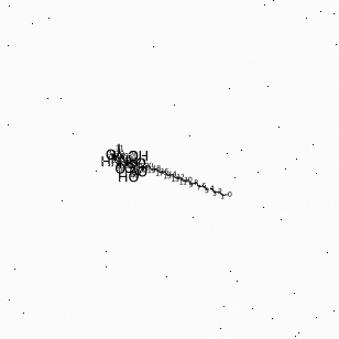 CCCCCCCCCCCCCCCCCCCCCC(=O)O[C@H]1[C@@H](O)[C@H](n2cc(I)c(=O)[nH]c2=O)O[C@@H]1CO